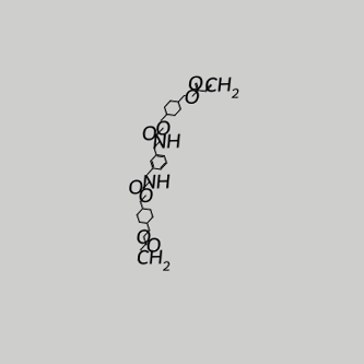 C=CC(=O)OCC1CCC(COC(=O)NCc2cccc(CNC(=O)OCC3CCC(COC(=O)C=C)CC3)c2)CC1